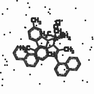 CC1=C(c2cccc3ccccc23)c2ccc(C)cc2[CH]1[Zr+2]([CH3])([CH3])(=[SiH2])[CH]1C(C)=C(c2cccc3ccccc23)c2ccc(C)cc21.[Cl-].[Cl-]